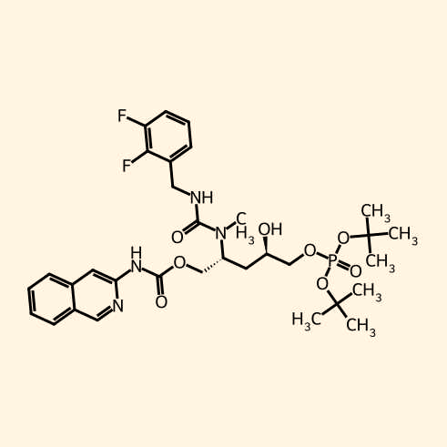 CN(C(=O)NCc1cccc(F)c1F)[C@@H](COC(=O)Nc1cc2ccccc2cn1)C[C@@H](O)COP(=O)(OC(C)(C)C)OC(C)(C)C